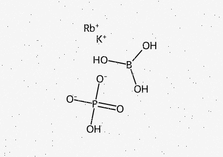 O=P([O-])([O-])O.OB(O)O.[K+].[Rb+]